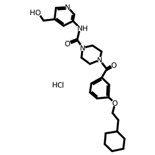 Cl.O=C(Nc1cncc(CO)c1)N1CCN(C(=O)c2cccc(OCCC3CCCCC3)c2)CC1